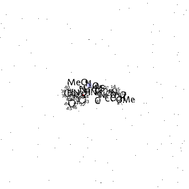 CO/N=C(/C(=O)N[C@@H]1C(=O)N2C(C(=O)O)=C([C@H]3CC[C@@H](C(=O)OC)O3)CS[C@H]12)c1csc(NC(c2ccccc2)(c2ccccc2)c2ccccc2)n1